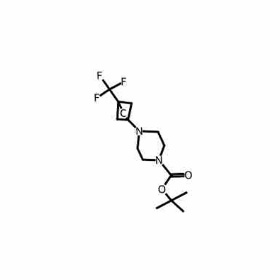 CC(C)(C)OC(=O)N1CCN(C23CC(C(F)(F)F)(C2)C3)CC1